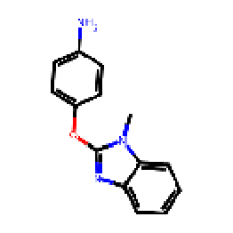 Cn1c(Oc2ccc(N)cc2)nc2ccccc21